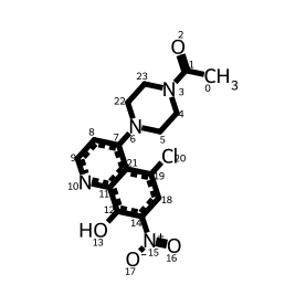 CC(=O)N1CCN(c2ccnc3c(O)c([N+](=O)[O-])cc(Cl)c23)CC1